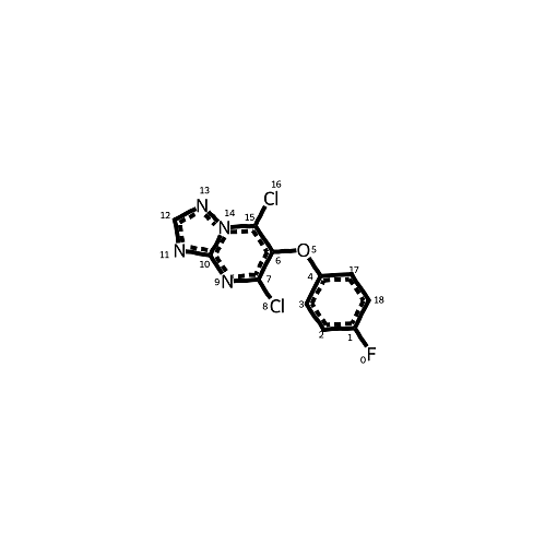 Fc1ccc(Oc2c(Cl)nc3ncnn3c2Cl)cc1